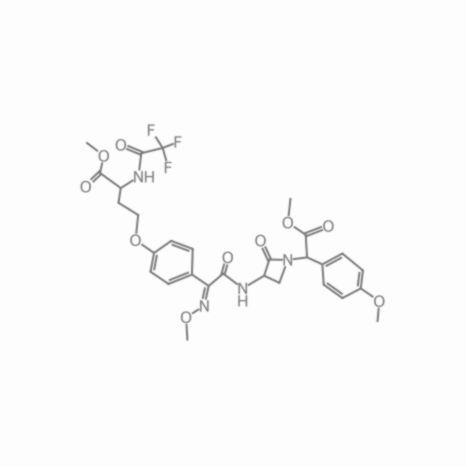 CON=C(C(=O)NC1CN(C(C(=O)OC)c2ccc(OC)cc2)C1=O)c1ccc(OCCC(NC(=O)C(F)(F)F)C(=O)OC)cc1